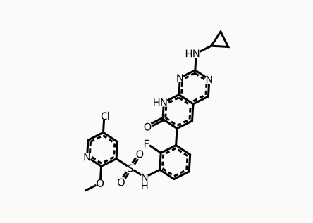 COc1ncc(Cl)cc1S(=O)(=O)Nc1cccc(-c2cc3cnc(NC4CC4)nc3[nH]c2=O)c1F